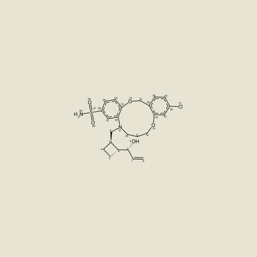 C=C[C@@H](O)[C@@H]1CC[C@H]1CN1CCCOc2cc(Cl)ccc2COc2ccc(S(N)(=O)=O)cc21